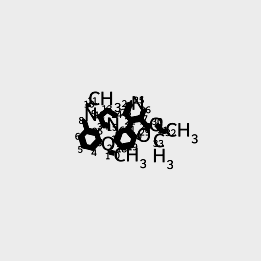 CCOc1cccc(CN(CC)[C@@H]2CCN(c3ccccc3-c3ccncc3C(=O)OC(C)C)C2)c1